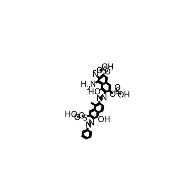 C=Nc1c(S(=O)(=O)O)cc2cc(OS(=O)O)c(N=Nc3ccc4c(O)c(N=Nc5ccccc5)c(SOOO)cc4c3C)c(O)c2c1N